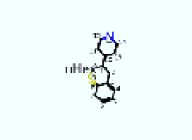 CCCCCCC(CC1=CC=CCC1=S)C1CC[N]CC1